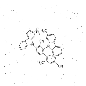 Cc1ccc2c3ccccc3n(-c3ccc(-c4ccc(C#N)cc4C)c(-n4c5ccccc5c5ccc(C)cc54)c3C#N)c2c1